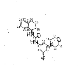 O=C(Nc1cc(F)cc(N2CCOCC2)c1)NC1CCCc2ccccc21